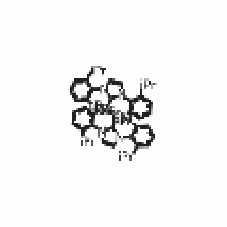 CC(C)c1cccc(C(C)C)c1N1C=CN(c2c(C(C)C)cccc2C(C)C)C1/[SiH]=[SiH]/C1N(c2c(C(C)C)cccc2C(C)C)C=CN1c1c(C(C)C)cccc1C(C)C